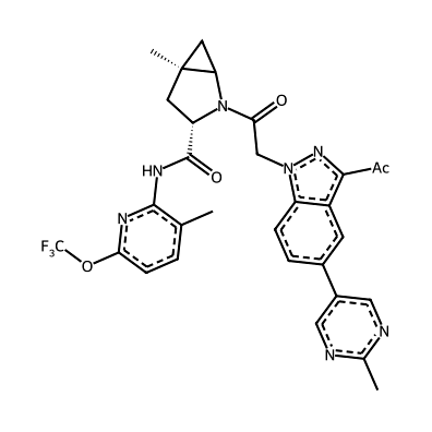 CC(=O)c1nn(CC(=O)N2C3C[C@]3(C)C[C@H]2C(=O)Nc2nc(OC(F)(F)F)ccc2C)c2ccc(-c3cnc(C)nc3)cc12